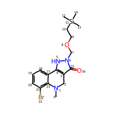 CN1Cc2c([nH]n(COCC[Si](C)(C)C)c2=O)-c2cccc(Br)c21